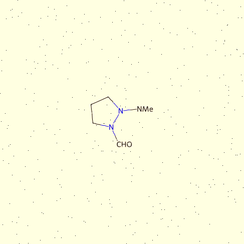 CNN1CCCN1C=O